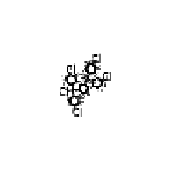 Clc1ccc(C(Cl)(c2ccc(Cl)cc2)c2cccc(C(Cl)(c3ccc(Cl)cc3)c3cccc(Cl)c3)c2)cc1